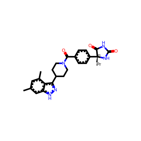 Cc1cc(C)c2c(C3CCN(C(=O)c4ccc([C@@]5(C(C)C)NC(=O)NC5=O)cc4)CC3)n[nH]c2c1